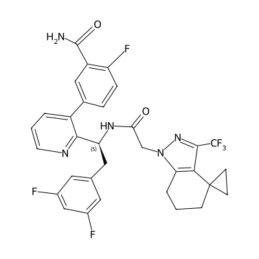 NC(=O)c1cc(-c2cccnc2[C@H](Cc2cc(F)cc(F)c2)NC(=O)Cn2nc(C(F)(F)F)c3c2CCCC32CC2)ccc1F